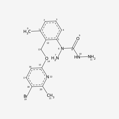 Cc1cccc(N(N)C(=O)NN)c1COc1ccc(Br)c(C)n1